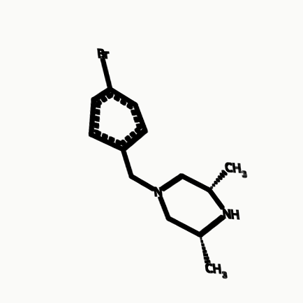 C[C@@H]1CN(Cc2ccc(Br)cc2)C[C@H](C)N1